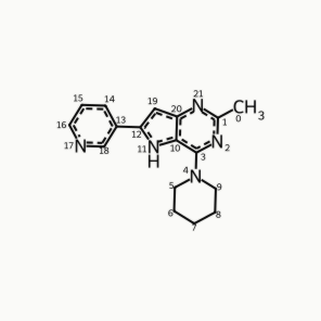 Cc1nc(N2CCCCC2)c2[nH]c(-c3cccnc3)cc2n1